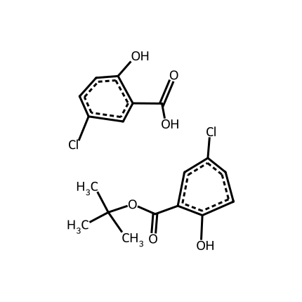 CC(C)(C)OC(=O)c1cc(Cl)ccc1O.O=C(O)c1cc(Cl)ccc1O